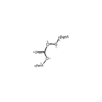 CCCCCOOC(=O)OCCCCC